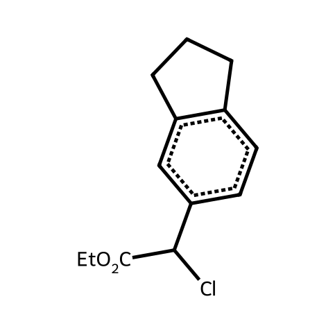 CCOC(=O)C(Cl)c1ccc2c(c1)CCC2